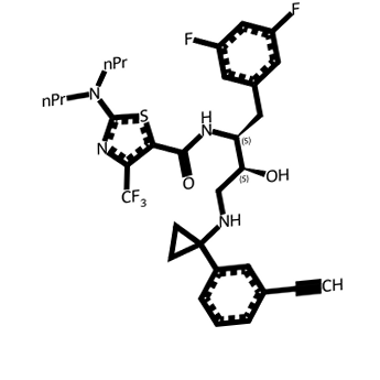 C#Cc1cccc(C2(NC[C@H](O)[C@H](Cc3cc(F)cc(F)c3)NC(=O)c3sc(N(CCC)CCC)nc3C(F)(F)F)CC2)c1